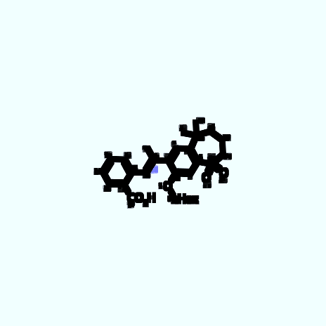 CCCCCCOc1cc2c(cc1/C(C)=C/c1ccccc1C(=O)O)C(C)(C)CCCS2(=O)=O